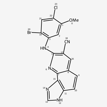 COc1cc(Nc2nc3c(ccc4[nH]cnc43)cc2C#N)c(Br)cc1Cl